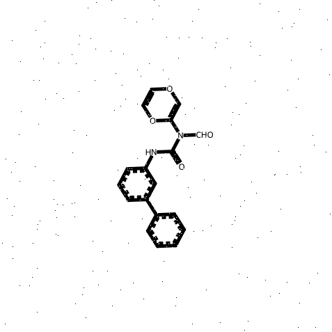 O=CN(C(=O)Nc1cccc(-c2ccccc2)c1)C1=COC=CO1